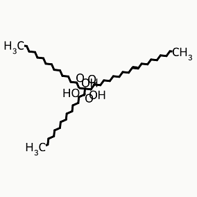 CCCCCCCCC=CCCCCCCCC(=O)C(O)C(O)(C(=O)CCCCCCCCCCCCC)C(O)C(=O)CCCCCCCCCCCCC